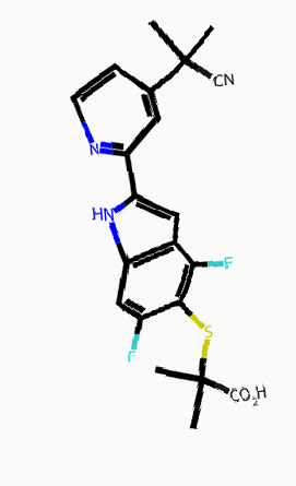 CC(C)(Sc1c(F)cc2[nH]c(-c3cc(C(C)(C)C#N)ccn3)cc2c1F)C(=O)O